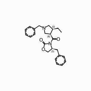 CC[C@@H]1CN(Cc2ccccc2)C[C@@H]1C(=O)N1C(=O)OC[C@@H]1Cc1ccccc1